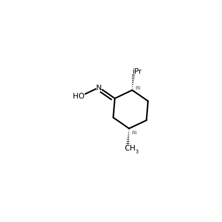 CC(C)[C@@H]1CC[C@H](C)CC1=NO